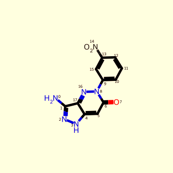 Nc1n[nH]c2cc(=O)n(-c3cccc([N+](=O)[O-])c3)nc12